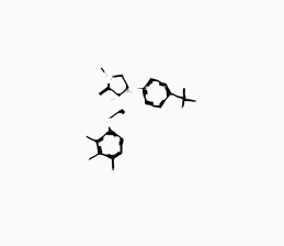 Cc1c(NC(=O)[C@@H]2C(=O)N(C)C[C@H]2c2ccc(C(F)(F)F)cc2)ccc(F)c1F